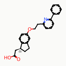 O=C(O)C[C@@H]1CCc2cc(OCCc3cccc(-c4ccccc4)n3)ccc21